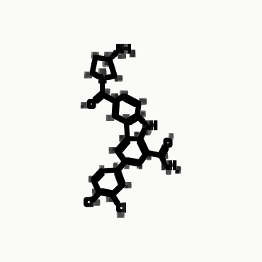 NC(=O)c1cc(-c2ccc(Cl)c(Cl)c2)cc2c1[nH]c1ccc(C(=O)N3CC[C@@H](N)C3)cc12